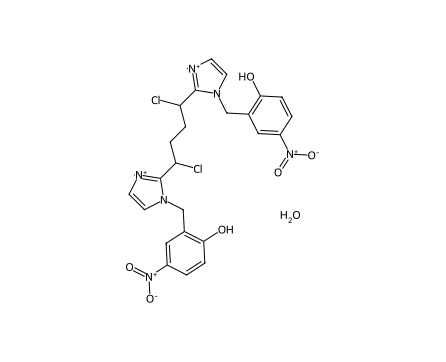 O.O=[N+]([O-])c1ccc(O)c(CN2C=C[N+]=C2C(Cl)CCC(Cl)C2=[N+]C=CN2Cc2cc([N+](=O)[O-])ccc2O)c1